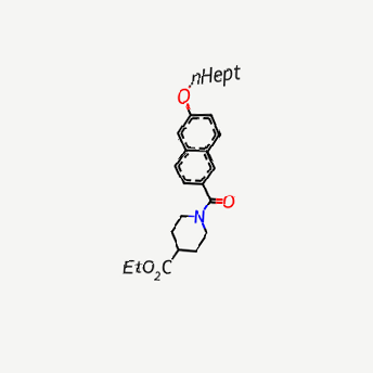 CCCCCCCOc1ccc2cc(C(=O)N3CCC(C(=O)OCC)CC3)ccc2c1